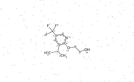 CC(C)c1cc(C(F)(F)F)cnc1OCCO